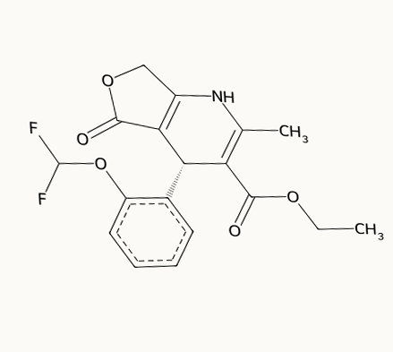 CCOC(=O)C1=C(C)NC2=C(C(=O)OC2)[C@H]1c1ccccc1OC(F)F